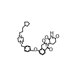 O=C1CCC(N2C(=O)Cc3c(OCc4ccc(CN5CCN(CCCC6CCCC6)CC5)cc4)cccc3C2=O)C(=O)N1